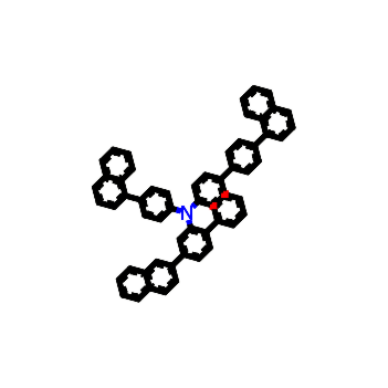 c1ccc(-c2ccc(-c3ccc4ccccc4c3)cc2N(c2ccc(-c3ccc(-c4cccc5ccccc45)cc3)cc2)c2ccc(-c3cccc4ccccc34)cc2)cc1